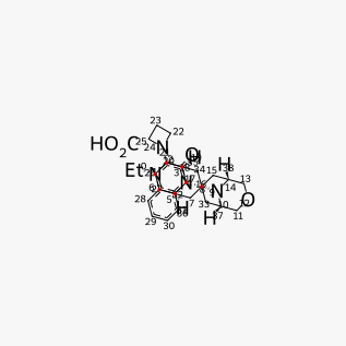 CC[C@@H]1C[C@@H]2C[C@H](C1)C[C@@H](N1[C@@H]3COC[C@H]1C[C@@H](n1c(=O)c(N4CC[C@H]4C(=O)O)nc4ccccc41)C3)C2